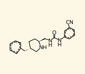 N#Cc1cccc(NC(=O)NC[C@@H]2CC[C@@H](Cc3ccccc3)CN2)c1